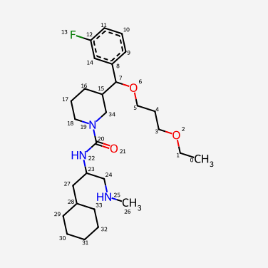 CCOCCCOC(c1cccc(F)c1)C1CCCN(C(=O)NC(CNC)CC2CCCCC2)C1